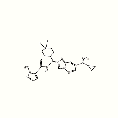 CC(C)n1nccc1C(=O)N[C@H](c1cn2ncc(C(N)C3CC3)cc2n1)C1CCC(F)(F)CC1